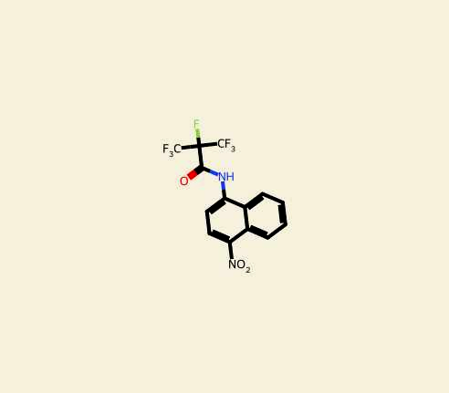 O=C(Nc1ccc([N+](=O)[O-])c2ccccc12)C(F)(C(F)(F)F)C(F)(F)F